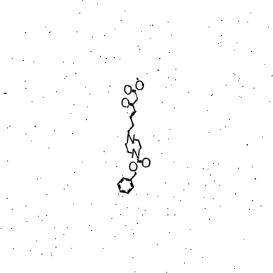 COC(=O)CC(=O)C=CCCN1CCN(C(=O)OCc2ccccc2)CC1